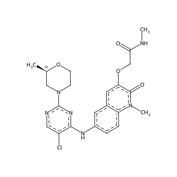 CNC(=O)COc1cc2cc(Nc3nc(N4CCO[C@H](C)C4)ncc3Cl)ccc2n(C)c1=O